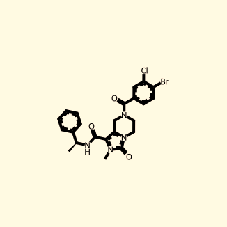 C[C@H](NC(=O)c1c2n(c(=O)n1C)CCN(C(=O)c1ccc(Br)c(Cl)c1)C2)c1ccccc1